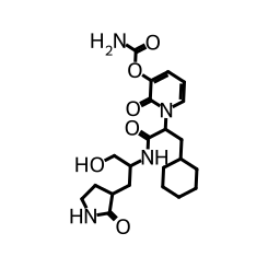 NC(=O)Oc1cccn(C(CC2CCCCC2)C(=O)NC(CO)CC2CCNC2=O)c1=O